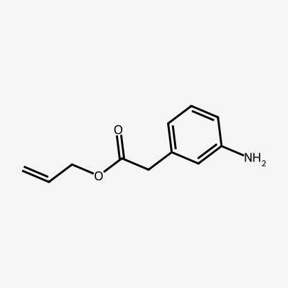 C=CCOC(=O)Cc1cccc(N)c1